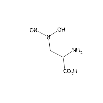 NC(CN(O)N=O)C(=O)O